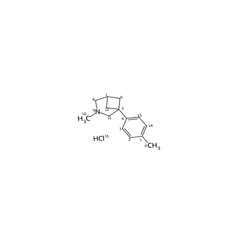 Cc1ccc(C23CC(CN(C)C2)C3)cc1.Cl